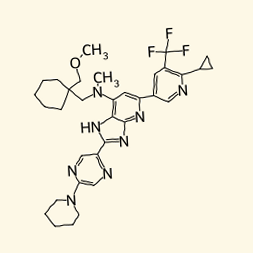 COCC1(CN(C)c2cc(-c3cnc(C4CC4)c(C(F)(F)F)c3)nc3nc(-c4cnc(N5CCCCC5)cn4)[nH]c23)CCCCC1